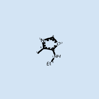 CCNc1o[c]nc1C